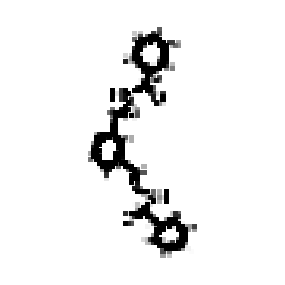 O=C(N/N=C/c1cccc(/C=N/NC(=O)c2ccccc2)c1)c1ccccc1